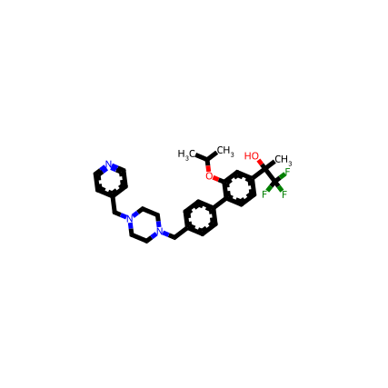 CC(C)Oc1cc(C(C)(O)C(F)(F)F)ccc1-c1ccc(CN2CCN(Cc3ccncc3)CC2)cc1